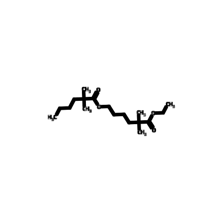 CCCCC(C)(C)C(=O)OCCCCC(C)(C)C(=O)OCC